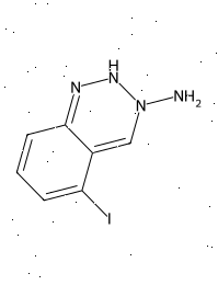 NN1C=c2c(I)cccc2=NN1